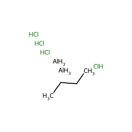 CCCC.Cl.Cl.Cl.Cl.[AlH3].[AlH3]